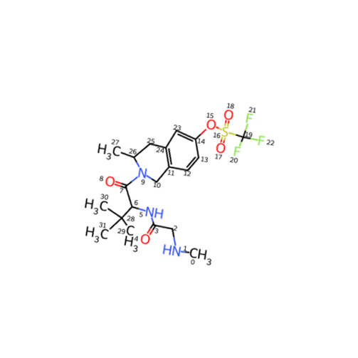 CNCC(=O)NC(C(=O)N1Cc2ccc(OS(=O)(=O)C(F)(F)F)cc2CC1C)C(C)(C)C